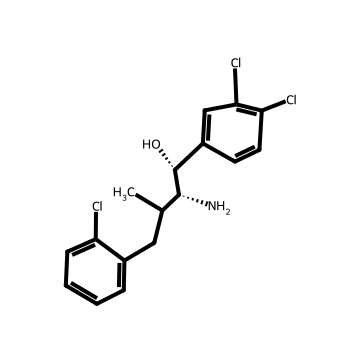 CC(Cc1ccccc1Cl)[C@@H](N)[C@H](O)c1ccc(Cl)c(Cl)c1